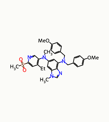 CCc1cc(S(C)(=O)=O)ncc1N(C)c1cc(N(Cc2ccc(OC)cc2)Cc2ccc(OC)cc2)c2ncn(C)c2c1